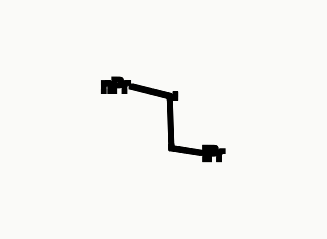 CCC[C]CC(C)C